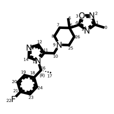 Cc1noc(C2(C)CCN(Cc3cncn3[C@H](C)c3ccc(F)cc3)CC2)n1